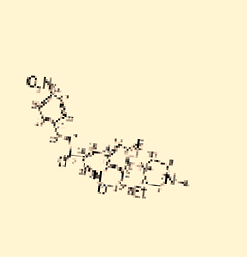 CCSc1c(N2CCN(C)CC2)c(F)cc2cc(C(=O)C=Cc3ccc([N+](=O)[O-])cc3)c[n+]([O-])c12